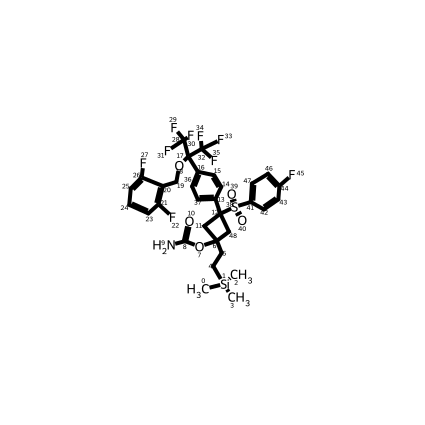 C[Si](C)(C)CCC1(OC(N)=O)CC(c2ccc(C(OCc3c(F)cccc3F)(C(F)(F)F)C(F)(F)F)cc2)(S(=O)(=O)c2ccc(F)cc2)C1